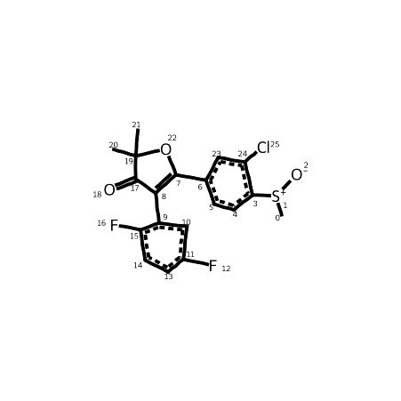 C[S+]([O-])c1ccc(C2=C(c3cc(F)ccc3F)C(=O)C(C)(C)O2)cc1Cl